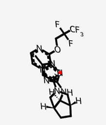 Cc1cc(N2C[C@H]3CC[C@@H](C2)[C@@H]3Nc2nc3c(OCC(F)(F)C(F)(F)F)nccn3n2)sn1